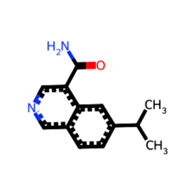 CC(C)c1ccc2cncc(C(N)=O)c2c1